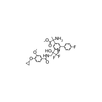 COC(=O)C(C)(N)c1cc(-c2ccc(F)cc2)nc(C(O)(CNC(=O)c2ccc(OC3CC3)c(OC)c2)C(F)(F)F)c1